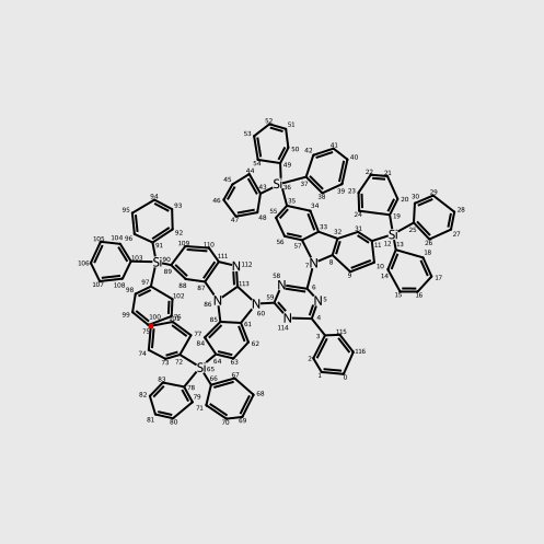 c1ccc(-c2nc(-n3c4ccc([Si](c5ccccc5)(c5ccccc5)c5ccccc5)cc4c4cc([Si](c5ccccc5)(c5ccccc5)c5ccccc5)ccc43)nc(-n3c4ccc([Si](c5ccccc5)(c5ccccc5)c5ccccc5)cc4n4c5cc([Si](c6ccccc6)(c6ccccc6)c6ccccc6)ccc5nc34)n2)cc1